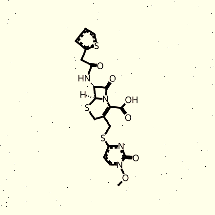 COn1ccc(SCC2=C(C(=O)O)N3C(=O)[C@@H](NC(=O)Cc4cccs4)[C@@H]3SC2)nc1=O